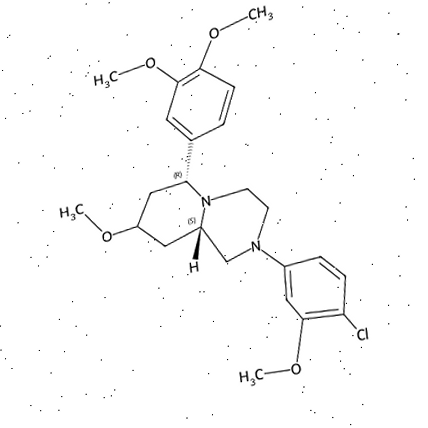 COc1cc(N2CCN3[C@@H](CC(OC)C[C@@H]3c3ccc(OC)c(OC)c3)C2)ccc1Cl